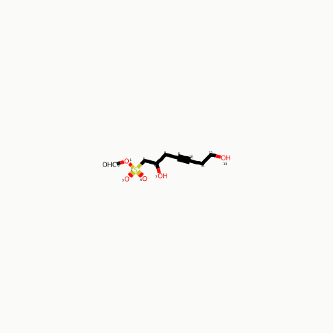 O=COS(=O)(=O)CC(O)CC#CCCO